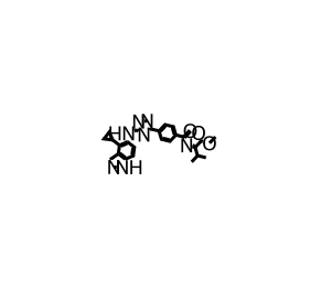 COC(=O)/C(=N\C(=O)c1ccc(-c2nc(Nc3ccc4[nH]ncc4c3C3CC3)n(C)n2)cc1)C(C)C